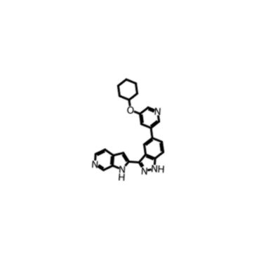 c1cc2cc(-c3n[nH]c4ccc(-c5cncc(OC6CCCCC6)c5)cc34)[nH]c2cn1